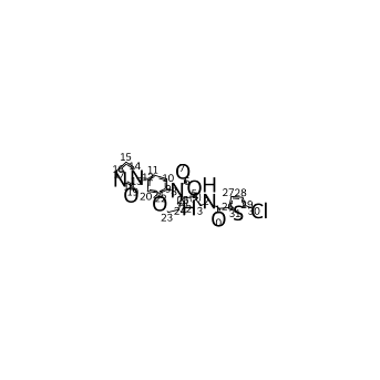 O=C(NC[C@@H]1OC(=O)N2c3ccc(-n4cccnc4=O)cc3OCC[C@@H]12)c1ccc(Cl)s1